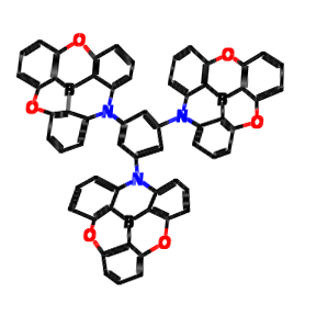 c1cc2c3c(c1)Oc1cccc4c1B3c1c(cccc1N4c1cc(N3c4cccc5c4B4c6c(cccc6Oc6cccc3c64)O5)cc(N3c4cccc5c4B4c6c(cccc6Oc6cccc3c64)O5)c1)O2